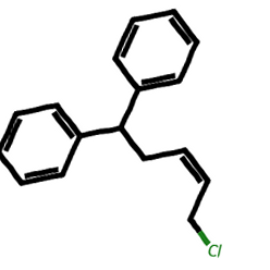 ClC/C=C\CC(c1ccccc1)c1ccccc1